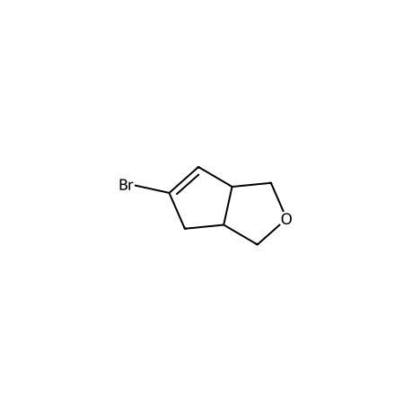 BrC1=CC2COCC2C1